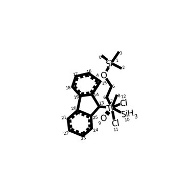 C[Si](C)(C)OC[CH2][Ti]([CH3])(=[O])([SiH3])([Cl])([Cl])[CH]1c2ccccc2-c2ccccc21